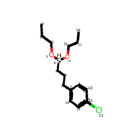 CCCO[SiH](CCCc1ccc(Cl)cc1)OCCC